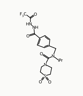 CC(C)N(Cc1ccc(C(=O)NNC(=O)C(F)(F)F)cc1)C(=O)N1CCS(=O)(=O)CC1